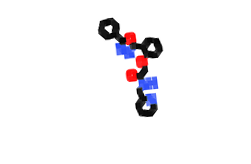 O=C(COc1ccccc1-c1nnc(-c2ccccc2)o1)NCc1ccccn1